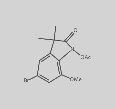 COc1cc(Br)cc2c1N(OC(C)=O)C(=O)C2(C)C